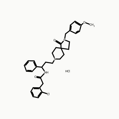 COc1ccc(CN2CCC3(CCN(CCC(NC(=O)Cc4ccccc4Cl)c4ccccc4)CC3)C2=O)cc1.Cl